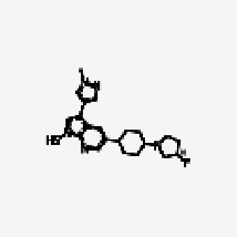 Cn1cc(-c2cn(S)c3ncc(C4CCC(N5CC[C@@H](F)C5)CC4)cc23)cn1